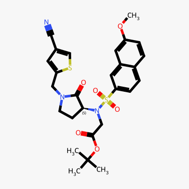 COc1ccc2ccc(S(=O)(=O)N(CC(=O)OC(C)(C)C)[C@H]3CCN(Cc4cc(C#N)cs4)C3=O)cc2c1